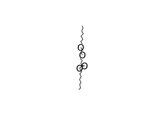 CCCCCCCCOCCOCCCC(=O)OCCCCCCCC